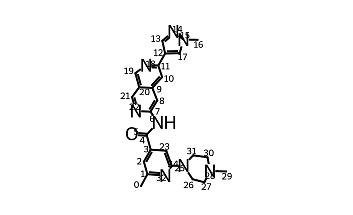 Cc1cc(C(=O)Nc2cc3cc(-c4cnn(C)c4)ncc3cn2)cc(N2CCN(C)CC2)n1